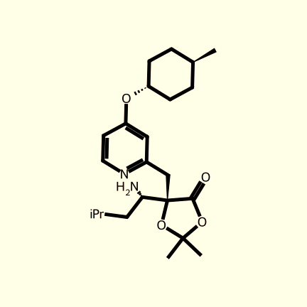 CC(C)C[C@H](N)[C@@]1(Cc2cc(O[C@H]3CC[C@H](C)CC3)ccn2)OC(C)(C)OC1=O